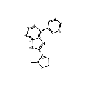 CN1CCC[C@H]1c1nc2c(-c3ccccc3)ncnc2s1